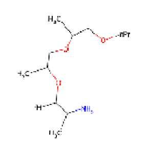 [2H]C(OC(C)COC(C)COCCC)C(C)N